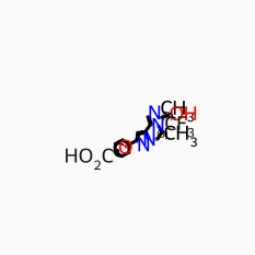 C[C@H]1Cn2nc(C34CCC(C(=O)O)(CC3)CO4)cc2-c2cnc([C@@](C)(O)C(F)(F)F)n21